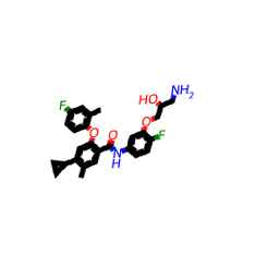 Cc1cc(F)ccc1Oc1cc(C2CC2)c(C)cc1C(=O)Nc1ccc(F)c(OCC(O)CN)c1